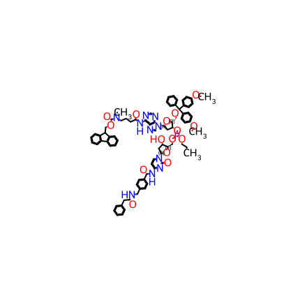 CCCOP(OC[C@H]1O[C@@H](n2ccc(NC(=O)c3ccc(CNC(=O)Cc4ccccc4)cc3)nc2=O)CC1O)OC1C[C@H](n2cnc3c(NC(=O)CCCN(C)C(=O)OCC4c5ccccc5-c5ccccc54)ncnc32)O[C@@H]1COC(c1ccccc1)(c1ccc(OC)cc1)c1ccc(OC)cc1